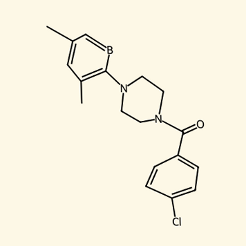 Cc1cbc(N2CCN(C(=O)c3ccc(Cl)cc3)CC2)c(C)c1